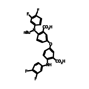 CCCCN(c1ccc(F)c(F)c1)c1ccc(Oc2ccc(Nc3ccc(F)c(F)c3)c(C(=O)O)c2)cc1C(=O)O